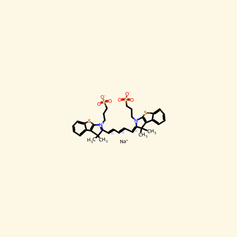 CC1(C)C(/C=C/C=C/C=C2\N(CCCS(=O)(=O)[O-])c3sc4ccccc4c3C2(C)C)=[N+](CCCS(=O)(=O)[O-])c2sc3ccccc3c21.[Na+]